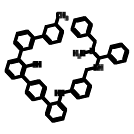 CC1C=CC=C(c2cccc(-c3cccc(-c4ccc(-c5ccccc5Nc5cccc(CNC(c6ccccc6)N(N)Cc6ccccc6)c5)cc4)c3S)c2)C1